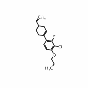 C=CC1CC=C(c2ccc(OCCC)c(Cl)c2F)CC1